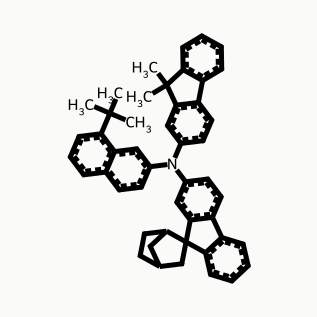 CC(C)(C)c1cccc2ccc(N(c3ccc4c(c3)C(C)(C)c3ccccc3-4)c3ccc4c(c3)C3(CC5CCC3C5)c3ccccc3-4)cc12